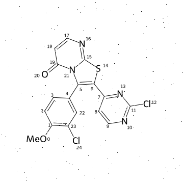 COc1ccc(-c2c(-c3ccnc(Cl)n3)sc3nccc(=O)n23)cc1Cl